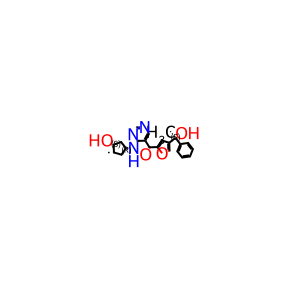 C[C@](O)(c1ccccc1)c1coc(C(=O)c2cncnc2N[C@@H]2C[CH][C@H](O)C2)c1